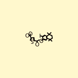 COC(=O)c1csc(C(=O)COc2cc3c(cc2I)C(C)(C)CCC3(C)C)c1